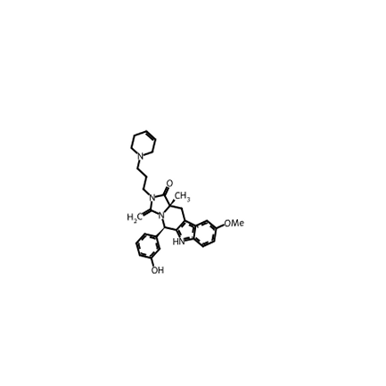 C=C1N(CCCN2CC=CCC2)C(=O)[C@]2(C)Cc3c([nH]c4ccc(OC)cc34)[C@@H](c3cccc(O)c3)N12